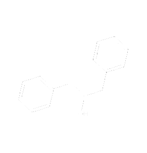 OP(Cc1ccccc1)Oc1ccccc1